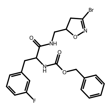 O=C(NC(Cc1cccc(F)c1)C(=O)NCC1CC(Br)=NO1)OCc1ccccc1